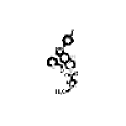 CCn1ncc(S(=O)(=O)N2CC[C@H]3Cc4c(cnn4-c4ccc(F)cc4)C[C@]3(C(=O)c3ccccn3)C2)n1